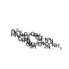 Nc1ncnc2c1ncn2[C@@H]1OC2COP(=O)(S)O[C@H]3C(COPOC2[C@@H]1F)O[C@@H](n1ccc(=O)[nH]c1=O)C3F